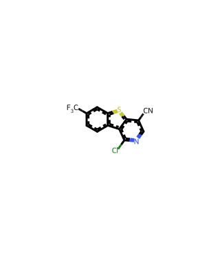 N#Cc1cnc(Cl)c2c1sc1cc(C(F)(F)F)ccc12